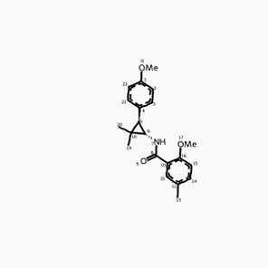 COc1ccc([C@H]2[C@H](NC(=O)c3cc(C)ccc3OC)C2(C)C)cc1